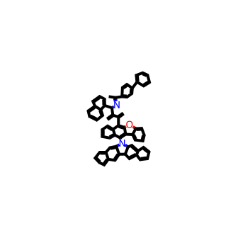 C=C(C(=C)C(/N=C(\C)c1ccc(-c2ccccc2)cc1)c1cccc2ccccc12)c1c2ccccc2c(N2c3cc4ccccc4cc3C3C=c4ccccc4=CC32)c2c1oc1ccccc12